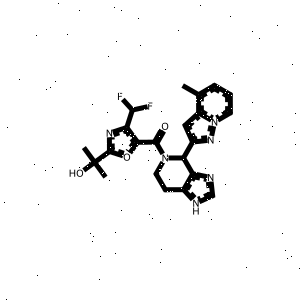 Cc1cccn2nc(C3c4nc[nH]c4CCN3C(=O)c3oc(C(C)(C)O)nc3C(F)F)cc12